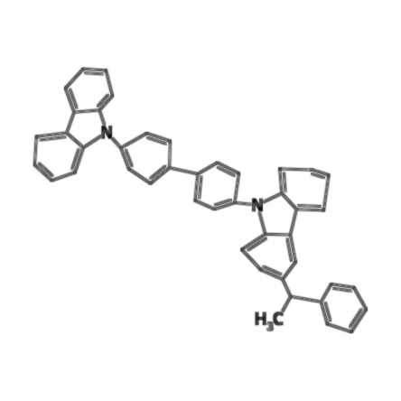 CC(c1ccccc1)c1ccc2c(c1)c1ccccc1n2-c1ccc(-c2ccc(-n3c4ccccc4c4ccccc43)cc2)cc1